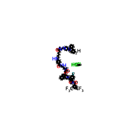 CN(CCN1CCC(N(C(=O)O)c2ccccc2-c2ccccc2)CC1)C(=O)CCCCCNc1ccc(C(=O)NCCCN(C)C(=O)CO[C@H]2Cc3ccccc3C23CCN(CC[C@]2(c4ccc(F)cc4)CN(C(=O)c4cc(C(F)(F)F)cc(C(F)(F)F)c4)CO2)CC3)cc1.Cl.Cl.Cl